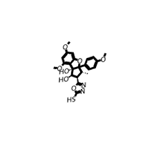 COc1ccc(C23Oc4cc(OC)cc(OC)c4[C@]2(O)[C@H](O)[C@H](c2nnc(S)o2)[C@H]3C)cc1